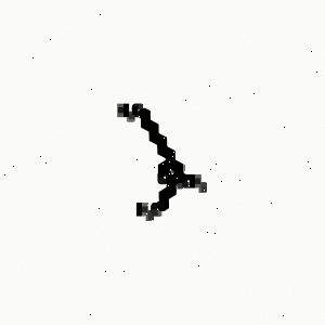 CCCCCCCCC([CH]C(C)CCCCC)CC